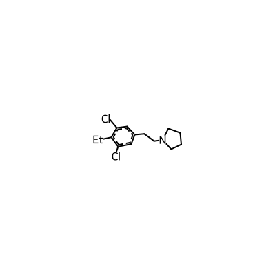 CCc1c(Cl)cc(CCN2CCCC2)cc1Cl